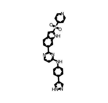 O=S(=O)(c1ccncc1)c1cc2ccc(-c3nccc(Nc4ccc(-c5cn[nH]c5)cc4)n3)cc2[nH]1